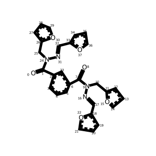 O=C(c1cccc(C(=O)N(Cc2ccco2)N=Cc2ccco2)c1)N(Cc1ccco1)N=Cc1ccco1